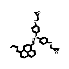 C/C=C\C=C1\C=CC2=CC=CC3=C(C=NN(c4ccc(OCC5CO5)cc4)c4ccc(OCC5CO5)cc4)C=C=C1C23